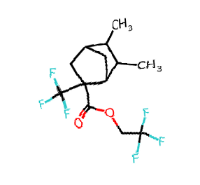 CC1C2CC(C1C)C(C(=O)OCC(F)(F)F)(C(F)(F)F)C2